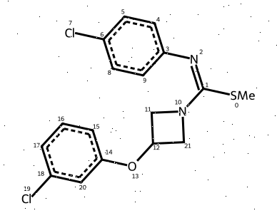 CSC(=Nc1ccc(Cl)cc1)N1CC(Oc2cccc(Cl)c2)C1